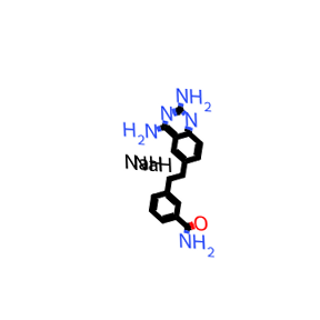 NC(=O)c1cccc(CCc2ccc3nc(N)nc(N)c3c2)c1.[NaH].[NaH]